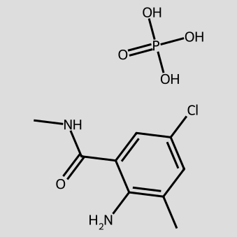 CNC(=O)c1cc(Cl)cc(C)c1N.O=P(O)(O)O